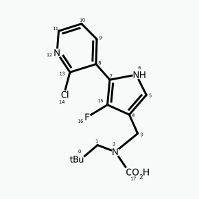 CC(C)(C)CN(Cc1c[nH]c(-c2cccnc2Cl)c1F)C(=O)O